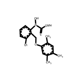 CCc1cccc(N(O)C(=S)OC)c1COc1cc(C)c(C)cc1C